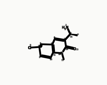 C[C@H](N)c1cc2cc(Cl)ccc2n(C)c1=O